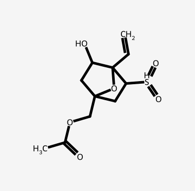 C=CC12OC(COC(C)=O)(CC1O)CC2[SH](=O)=O